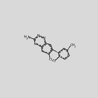 Cc1ccc(Cl)c(-c2cc3nnc(N)nc3cc2Cl)c1